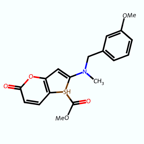 COC(=O)[SH]1C(N(C)Cc2cccc(OC)c2)=Cc2oc(=O)ccc21